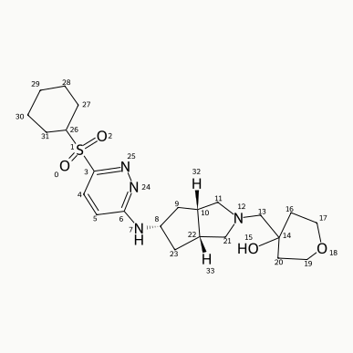 O=S(=O)(c1ccc(N[C@@H]2C[C@@H]3CN(CC4(O)CCOCC4)C[C@@H]3C2)nn1)C1CCCCC1